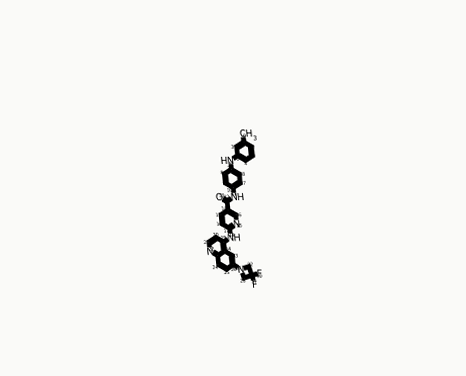 Cc1cccc(Nc2ccc(NC(=O)c3ccc(Nc4ccnc5ccc(N6CC(F)(F)C6)cc45)nc3)cc2)c1